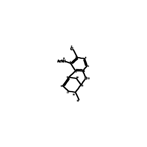 CC(=O)Nc1c(Cl)ccc2c1C1=CCC(C)C(C1)O2